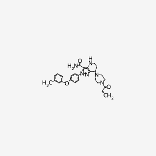 C=CC(=O)N1CCN([C@@H]2CCNc3c2nn(-c2ccc(Oc4cccc(C)c4)cc2)c3C(N)=O)CC1